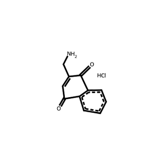 Cl.NCC1=CC(=O)c2ccccc2C1=O